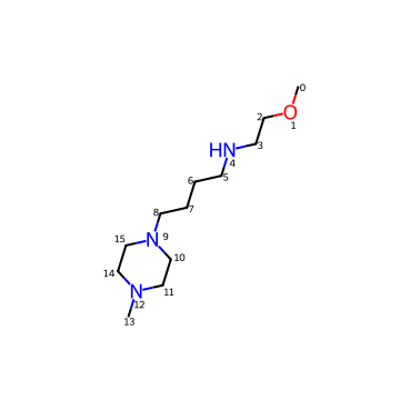 COCCNCCCCN1CCN(C)CC1